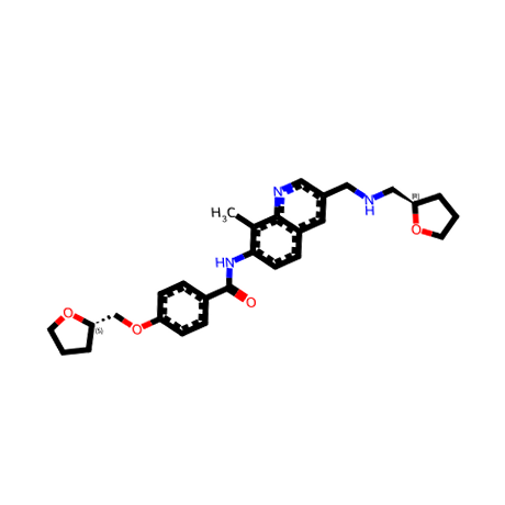 Cc1c(NC(=O)c2ccc(OC[C@@H]3CCCO3)cc2)ccc2cc(CNC[C@H]3CCCO3)cnc12